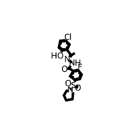 C/C(=N\NC(=O)c1cc(S(=O)(=O)N2CCCCC2)ccc1F)c1cc(Cl)ccc1O